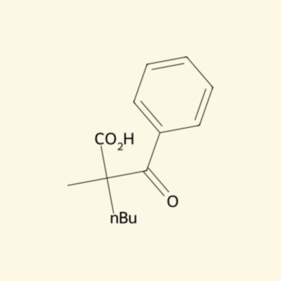 CCCCC(C)(C(=O)O)C(=O)c1ccccc1